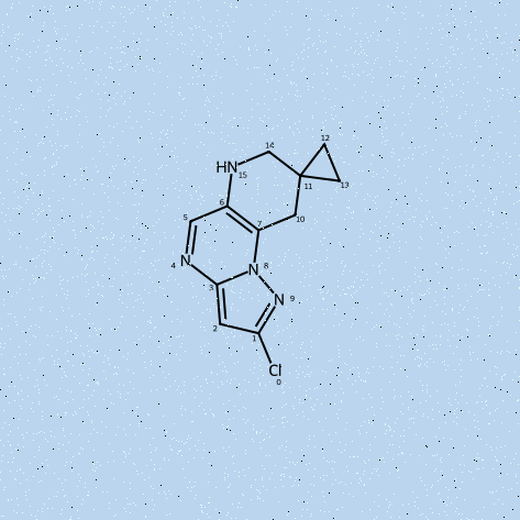 Clc1cc2ncc3c(n2n1)CC1(CC1)CN3